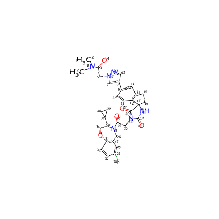 CN(C)C(=O)Cn1cc(-c2ccc3c(c2)CCC32NC(=O)N(CC(=O)N3Cc4cc(F)ccc4OCC3C3CC3)C2=O)cn1